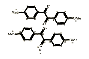 COc1ccc(C(=O)C(=S)c2ccc(SC)cc2)cc1.COc1ccc(C(=O)C(=S)c2ccc(SC)cc2)cc1.[Ni]